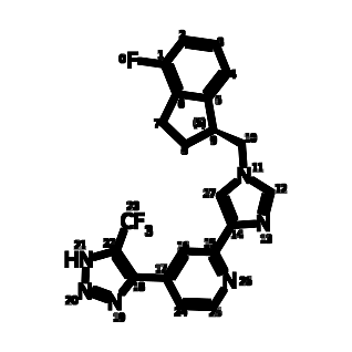 Fc1cccc2c1CC[C@@H]2Cn1cnc(-c2cc(-c3nn[nH]c3C(F)(F)F)ccn2)c1